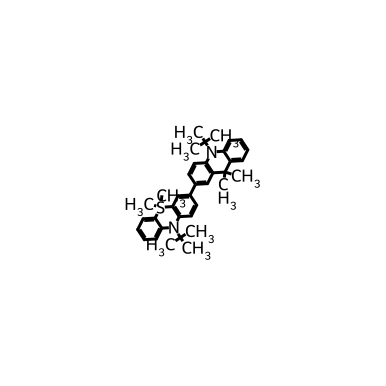 CC1(C)c2ccccc2N(C(C)(C)C)c2ccc(-c3ccc4c(c3)S(C)(C)c3ccccc3N4C(C)(C)C)cc21